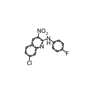 O=[N+]([O-])c1cc2ccc(Cl)cc2nc1Nc1ccc(F)cc1